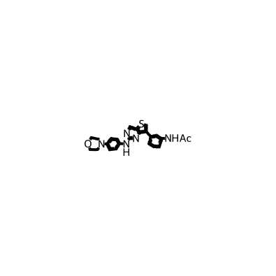 CC(=O)Nc1cccc(-c2csc3cnc(Nc4ccc(N5CCOCC5)cc4)nc23)c1